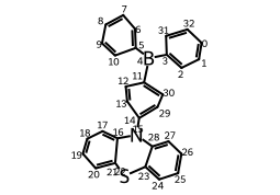 c1ccc(B(c2ccccc2)c2ccc(N3c4ccccc4Sc4ccccc43)cc2)cc1